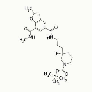 CNC(=O)c1cc(C(=O)NCCCC2(F)CCCN(C(=O)OC(C)(C)C)C2)cc2c1OC(C)C2